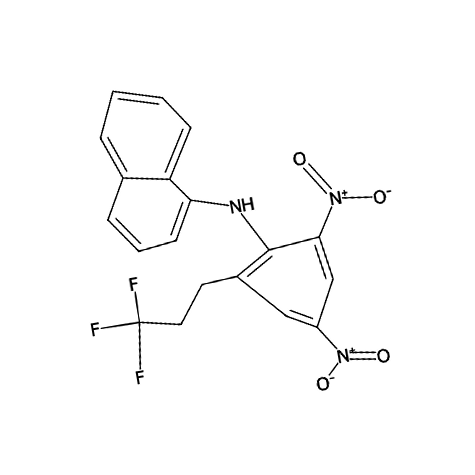 O=[N+]([O-])c1cc(CCC(F)(F)F)c(Nc2cccc3ccccc23)c([N+](=O)[O-])c1